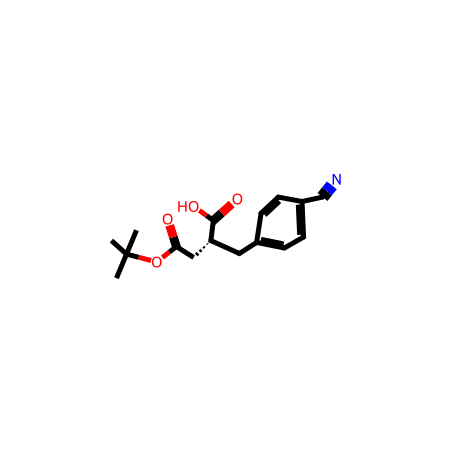 CC(C)(C)OC(=O)C[C@@H](Cc1ccc(C#N)cc1)C(=O)O